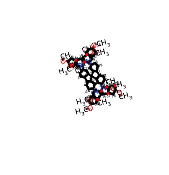 COc1ccc(N(c2ccc(OC)c(C)c2)c2ccc3c(c2)C2(c4cc(N(c5ccc(OC)cc5)c5ccc(OC)c(C)c5)ccc4-3)c3cc(N(c4ccc(OC)cc4)c4ccc(OC)c(C)c4)ccc3-c3ccc(N(c4ccc(OC)cc4)c4ccc(OC)c(C)c4)cc32)cc1